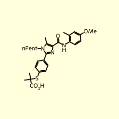 CCCCCn1c(-c2ccc(SC(C)(C)C(=O)O)cc2)nc(C(=O)Nc2ccc(OC)cc2C)c1C